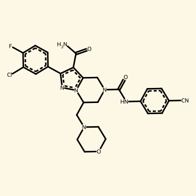 N#Cc1ccc(NC(=O)N2Cc3c(C(N)=O)c(-c4ccc(F)c(Cl)c4)nn3C(CN3CCOCC3)C2)cc1